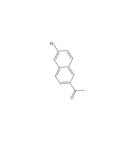 C=C(C)c1ccc2cc(CC)ccc2c1